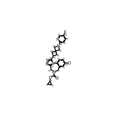 O=C(OC1CC1)N1Cc2cc(Cl)ccc2-n2c(nnc2C2CC3(C2)CN(c2ccc(F)cn2)C3)C1